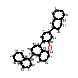 c1ccc2cc(-c3ccc4c(c3)Oc3cccc5c(-c6cccc7ccccc67)ccc-4c35)ccc2c1